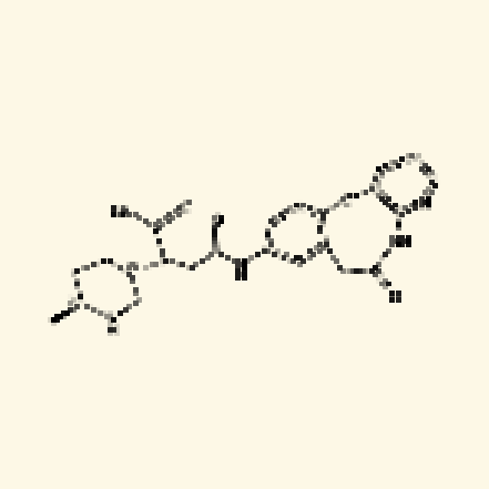 C[C@H]1CC[C@H](N(CC(=O)Nc2ccc3c(c2)CC(=O)Nc2ncccc2C3)C(=O)C(C)(C)C)CN1